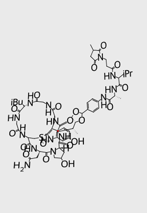 CC[C@H](C)[C@@H]1NC(=O)CNC(=O)C2Cc3c([nH]c4cc(O)ccc34)[S@+]([O-])CC(NC(=O)CNC1=O)C(=O)N[C@H](CC(N)=O)C(=O)N1CC(O)C[C@H]1C(=O)N[C@@H]([C@@H](C)[C@@H]1COC(c3ccc(NC(=O)[C@@H](C)NC(=O)C(NC(=O)CCN4C(=O)CC(C)C4=O)C(C)C)cc3)O1)C(=O)N2